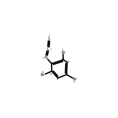 S=C=Nc1c(Br)cc(Br)cc1Br